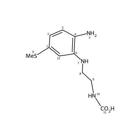 CSc1ccc(N)c(NCCNC(=O)O)c1